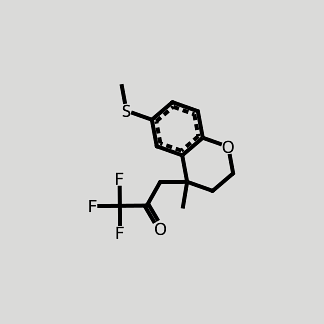 CSc1ccc2c(c1)C(C)(CC(=O)C(F)(F)F)CCO2